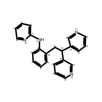 c1ccc(Nc2ccccc2CC(c2cccnc2)c2cccnc2)nc1